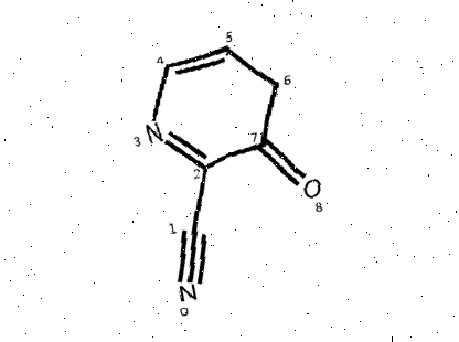 N#CC1=NC=[C]CC1=O